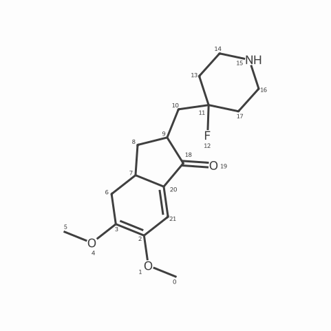 COC1=C(OC)CC2CC(CC3(F)CCNCC3)C(=O)C2=C1